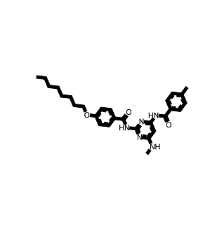 CCCCCCCCOc1ccc(C(=O)Nc2nc(NC)cc(NC(=O)c3ccc(C)cc3)n2)cc1